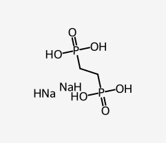 O=P(O)(O)CCP(=O)(O)O.[NaH].[NaH]